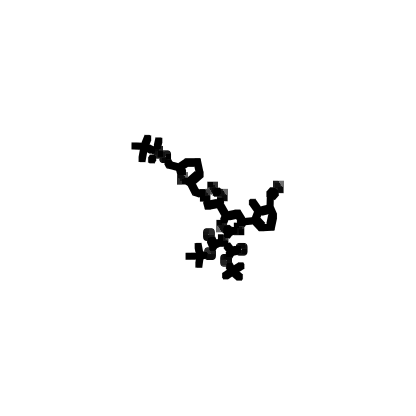 Cc1c(C#N)cccc1-c1cc(-c2cn(Cc3cccc(CO[Si](C)(C)C(C)(C)C)n3)nn2)nc(N(C(=O)OC(C)(C)C)C(=O)OC(C)(C)C)n1